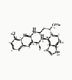 COCCCNc1nc2c(Cl)cccc2cc1[C@H](C)Nc1ncnc2[nH]cnc12